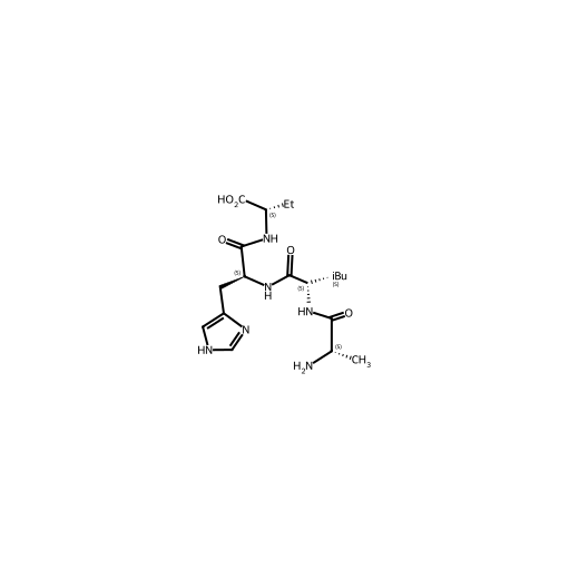 CC[C@H](NC(=O)[C@H](Cc1c[nH]cn1)NC(=O)[C@@H](NC(=O)[C@H](C)N)[C@@H](C)CC)C(=O)O